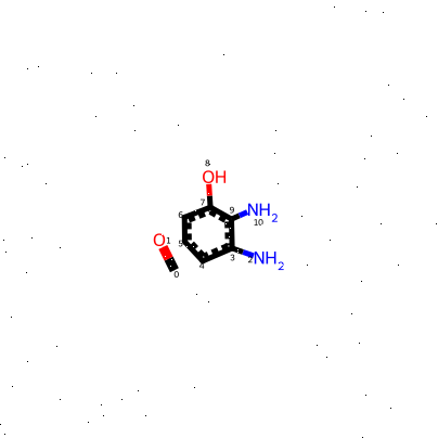 C=O.Nc1cccc(O)c1N